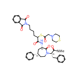 CNC(=O)[C@H](Cc1ccccc1)N1CC[C@H](c2ccccc2)C[C@H](NC(=O)C(CCCCN2C(=O)c3ccccc3C2=O)SC(=O)CN2CCSCC2)C1=O